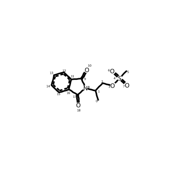 CC(COS(C)(=O)=O)N1C(=O)c2ccccc2C1=O